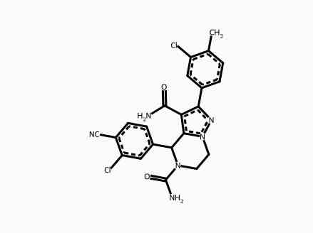 Cc1ccc(-c2nn3c(c2C(N)=O)C(c2ccc(C#N)c(Cl)c2)N(C(N)=O)CC3)cc1Cl